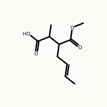 CC=CCC(C(=O)OC)C(C)C(=O)O